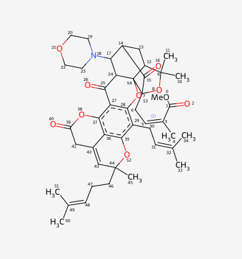 COC(=O)/C(C)=C\CC12OC(C)(C)C3CC(C1=O)C(N1CCOCC1)C1C(=O)c4c(c(CC=C(C)C)c5c6c4OC(=O)CC6=CC(C)(CCC=C(C)C)O5)OC132